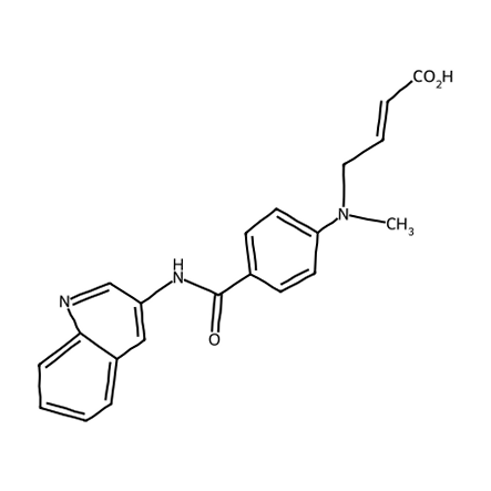 CN(C/C=C/C(=O)O)c1ccc(C(=O)Nc2cnc3ccccc3c2)cc1